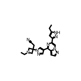 CCc1cc(-c2cn3nccc3c(-c3cnn(C4(CC#N)CN(CC)C4)c3)n2)n[nH]1